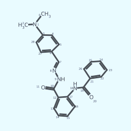 CN(C)c1ccc(/C=N/NC(=O)c2ccccc2NC(=O)c2ccccc2)cc1